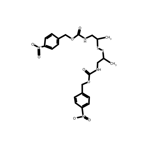 CC(CNC(=O)OCc1ccc([N+](=O)[O-])cc1)SSC(C)CNC(=O)OCc1ccc([N+](=O)[O-])cc1